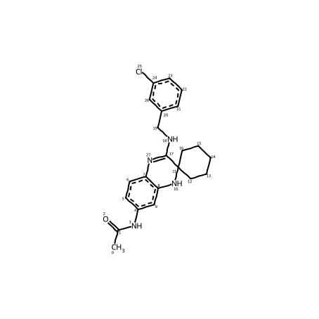 CC(=O)Nc1ccc2c(c1)NC1(CCCCC1)C(NCc1cccc(Cl)c1)=N2